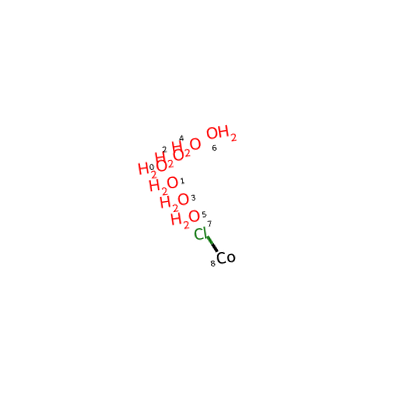 O.O.O.O.O.O.O.[Cl][Co]